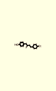 CCC1CCC(CCC(F)Cc2ccc(O)cc2)CC1